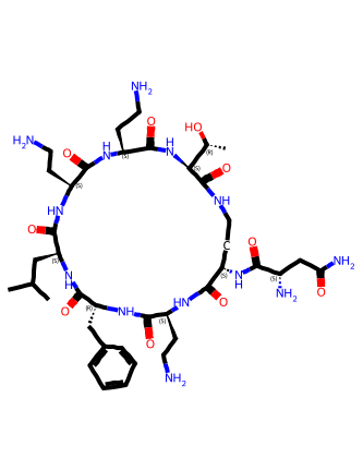 CC(C)C[C@@H]1NC(=O)[C@@H](Cc2ccccc2)NC(=O)[C@H](CCN)NC(=O)[C@@H](NC(=O)[C@@H](N)CC(N)=O)CCNC(=O)[C@H]([C@@H](C)O)NC(=O)[C@H](CCN)NC(=O)[C@H](CCN)NC1=O